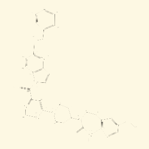 COc1ccc2c(c1)CCN(C1CCN(C3=CC(C(=O)n4ccc5nc(OCc6ccccc6)ccc54)=NCN3)CC1)C(=O)N2